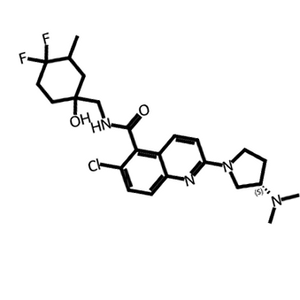 CC1CC(O)(CNC(=O)c2c(Cl)ccc3nc(N4CC[C@H](N(C)C)C4)ccc23)CCC1(F)F